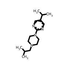 CC(C)CN1CCN(c2ncc(C(C)C)cn2)CC1